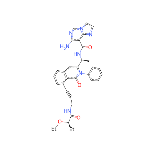 CCO[C@H](CC)C(=O)NCC#Cc1cccc2cc([C@H](C)NC(=O)c3c(N)ncn4ccnc34)n(-c3ccccc3)c(=O)c12